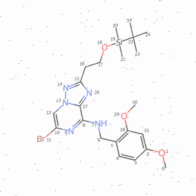 COc1ccc(CNc2nc(Br)cn3nc(CCO[Si](C)(C)C(C)(C)C)nc23)c(OC)c1